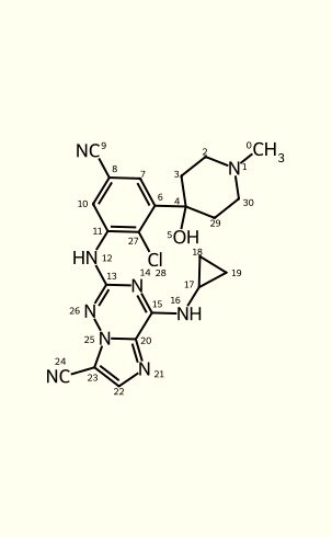 CN1CCC(O)(c2cc(C#N)cc(Nc3nc(NC4CC4)c4ncc(C#N)n4n3)c2Cl)CC1